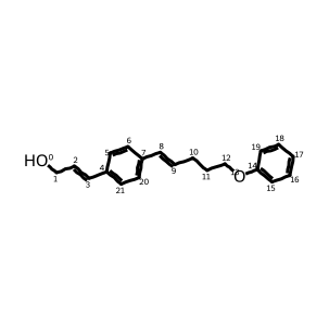 OCC=Cc1ccc(C=CCCCOc2ccccc2)cc1